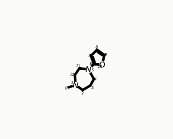 CN1CCCN(c2ccco2)CC1